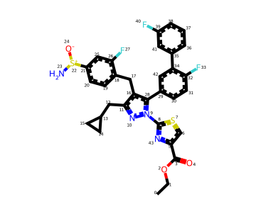 CCOC(=O)c1csc(-n2nc(CC3CC3)c(Cc3ccc([S+](N)[O-])cc3F)c2-c2ccc(F)c(-c3cccc(F)c3)c2)n1